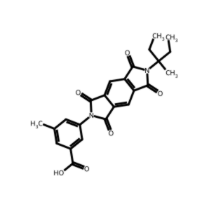 CCC(C)(CC)n1c(=O)c2cc3c(=O)n(-c4cc(C)cc(C(=O)O)c4)c(=O)c3cc2c1=O